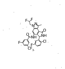 Cc1nn(CC(F)F)c2cc(NC(=O)c3cc(F)cc(C(F)(F)F)c3)c3c(c12)C(=O)NC3c1cc(F)ccc1Cl